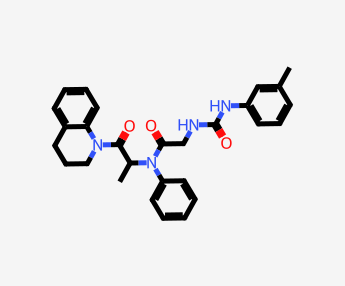 Cc1cccc(NC(=O)NCC(=O)N(c2ccccc2)C(C)C(=O)N2CCCc3ccccc32)c1